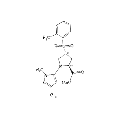 COC(=O)[C@@H]1C[C@@H](S(=O)(=O)c2ccccc2C(F)(F)F)CN1c1cc(C)nn1C